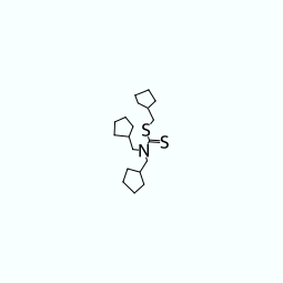 S=C(SCC1CCCC1)N(CC1CCCC1)CC1CCCC1